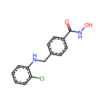 O=C(NO)c1ccc(CNc2ccccc2Cl)cc1